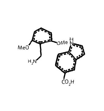 COc1cccc(OC)c1CN.O=C(O)c1ccc2[nH]ccc2c1